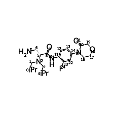 CC(C)CN(CC(C)C)[C@H](CN)C(=O)Nc1ccc(N2CCOCC2=O)cc1F